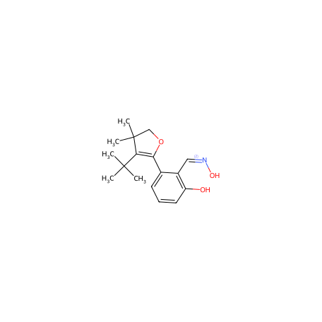 CC(C)(C)C1=C(c2cccc(O)c2/C=N\O)OCC1(C)C